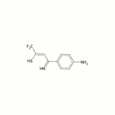 N=C(/C=C(\S)C(F)(F)F)c1ccc(N)cc1